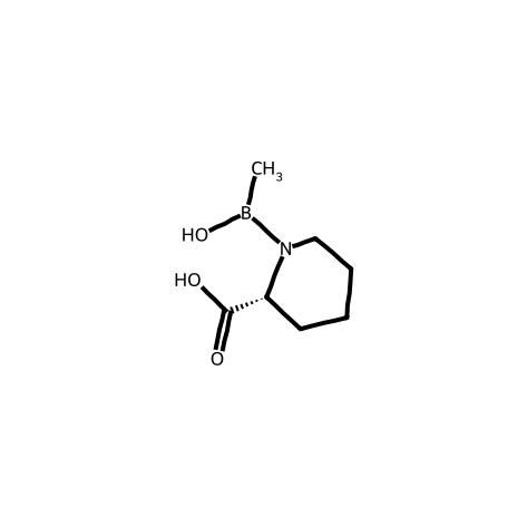 CB(O)N1CCCC[C@@H]1C(=O)O